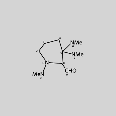 CNN1CCCC(NC)(NC)C1C=O